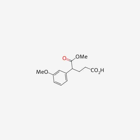 COC(=O)C(CCC(=O)O)c1cccc(OC)c1